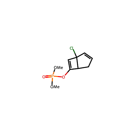 COP(=O)(OC)OC1=CC2(Cl)C=CCC12